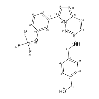 OCc1ccc(CNc2ccc3ncc(-c4cccc(OC(F)(F)F)c4)n3n2)cc1